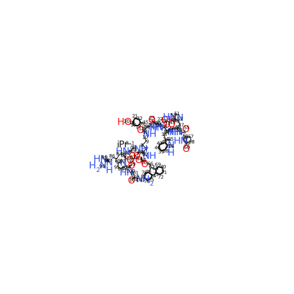 CC(C)C[C@H](NC(=O)[C@@H](CCCCNC(=O)[C@H](Cc1ccc(O)cc1)NC(=O)[C@H](CO)NC(=O)[C@H](Cc1c[nH]c2ccccc12)NC(=O)[C@H](Cc1c[nH]cn1)NC(=O)[C@@H]1CCC(=O)N1)NC(=O)OCC1c2ccccc2-c2ccccc21)C(=O)N[C@@H](CCCNC(=N)N)C(=O)N1CCC[C@H]1C(=O)NCC(N)=O